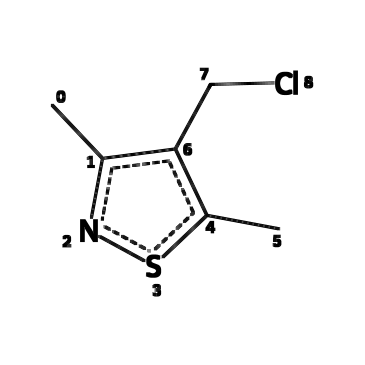 Cc1nsc(C)c1CCl